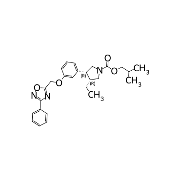 CC[C@H]1CN(C(=O)OCC(C)C)C[C@H]1c1cccc(OCc2nc(-c3ccccc3)no2)c1